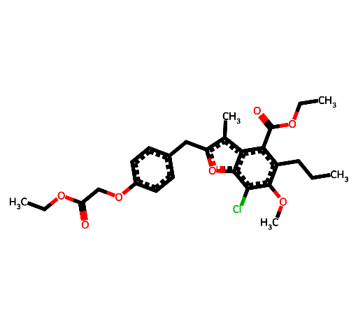 CCCc1c(OC)c(Cl)c2oc(Cc3ccc(OCC(=O)OCC)cc3)c(C)c2c1C(=O)OCC